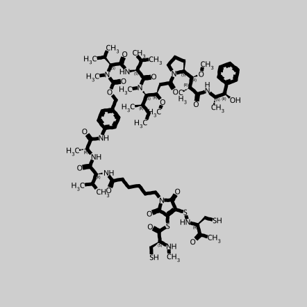 CC[C@@H](C)[C@@H]([C@@H](CC(=O)N1CCC[C@H]1[C@H](OC)[C@@H](C)C(=O)N[C@@H](C)[C@H](O)c1ccccc1)OC)N(C)C(=O)[C@@H](NC(=O)[C@H](C(C)C)N(C)C(=O)OCc1ccc(NC(=O)[C@@H](C)NC(=O)[C@H](NC(=O)CCCCCN2C(=O)C(SN[C@@H](CS)C(C)=O)=C(SC(=O)[C@H](CS)NC)C2=O)C(C)C)cc1)C(C)C